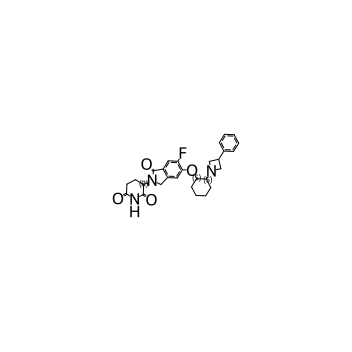 O=C1CC[C@@H](N2Cc3cc(O[C@H]4CCCC[C@@H]4N4CC(c5ccccc5)C4)c(F)cc3C2=O)C(=O)N1